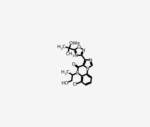 COC(C)(C)c1nc(-c2ncn3c2c(=O)n(C(C)CO)c2c(Cl)cccc23)no1